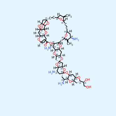 C=C1C[C@@H]2CC[C@@]34C[C@@H]5O[C@H]6[C@@H](O3)[C@H]3O[C@H](CC[C@@H]3O[C@H]6C5O4)CC(=O)O[C@@H]3[C@@H](N)[C@@H]4O[C@@H]5C[C@@]6(C[C@@H]7O[C@]8(C[C@H](N)[C@@H]9O[C@@H]%10C[C@@H]([C@@H](O)CO)O[C@@H]%10C[C@@H]9O8)C[C@H](N)[C@@H]7O6)O[C@@H]5C[C@@H]4O[C@H]3C[C@H]3O[C@@H](CC[C@@H]1O2)C[C@@H](N)C3=C